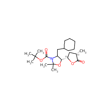 C[C@H]1C[C@@H](C2OC(C)(C)N(C(=O)OC(C)(C)C)C2CC2CCCCC2)OC1=O